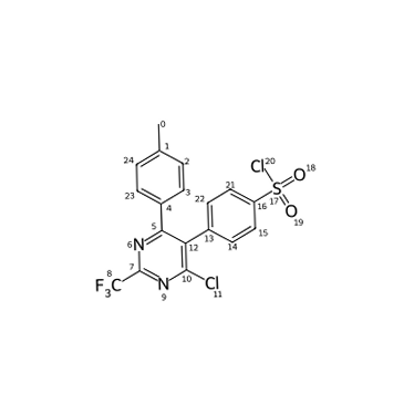 Cc1ccc(-c2nc(C(F)(F)F)nc(Cl)c2-c2ccc(S(=O)(=O)Cl)cc2)cc1